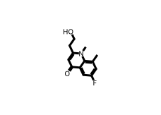 Cc1cc(F)cc2c(=O)cc(CCO)n(C)c12